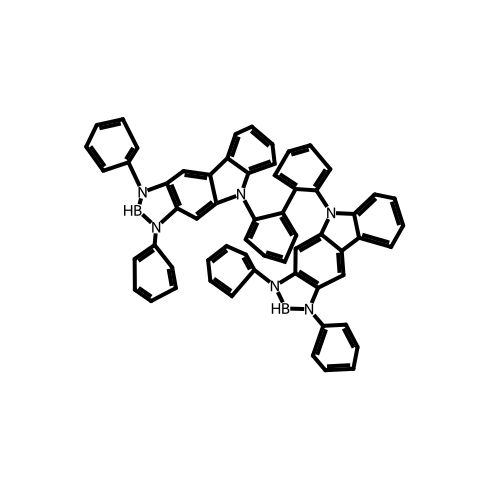 B1N(c2ccccc2)c2cc3c4ccccc4n(-c4ccccc4-c4ccccc4-n4c5ccccc5c5cc6c(cc54)N(c4ccccc4)BN6c4ccccc4)c3cc2N1c1ccccc1